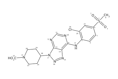 CS(=O)(=O)c1ccc(Nc2ncnc3c2nnn3C2CCN(C(=O)O)CC2)c(Cl)c1